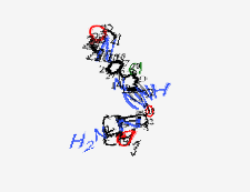 CC(C)(N)C(=O)N1CCC(Oc2nc3nc(-c4ccc(N5CCOCC5)cc4)c(Cl)cc3[nH]2)CC1